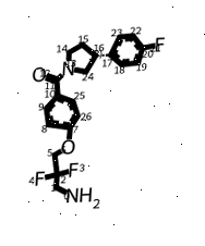 NCC(F)(F)COc1ccc(C(=O)N2CC[C@H](c3ccc(F)cc3)C2)cc1